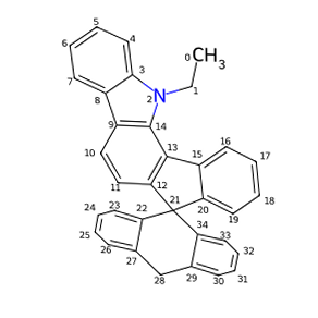 CCn1c2ccccc2c2ccc3c(c21)-c1ccccc1C31c2ccccc2Cc2ccccc21